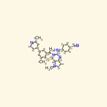 Cc1cc(-c2cc(C)c(Sc3nc(Nc4ccc(C#N)cc4)nc4ccn(C)c34)c(C)c2)ccn1